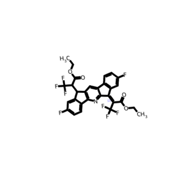 CCOC(=O)/C(=C1\c2cc(F)ccc2-c2cc3c(nc21)-c1ccc(F)cc1C3C(C(=O)OCC)C(F)(F)F)C(F)(F)F